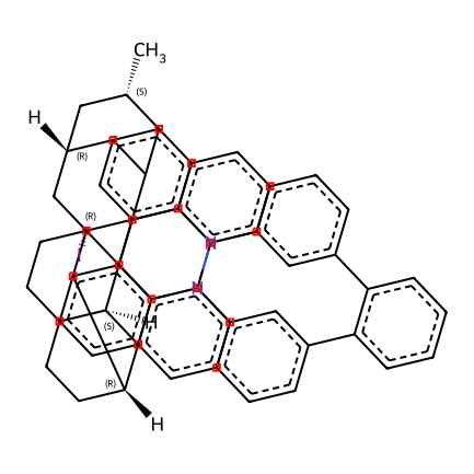 C[C@@H]1CC2C[C@@H](C1)C[C@@H](I)C21c2ccccc2N(c2cccc(-c3ccccc3-c3cccc(N4c5ccccc5C5(c6ccccc64)C4CCC6CC[C@H](C4)C[C@@H]65)c3)c2)c2ccccc21